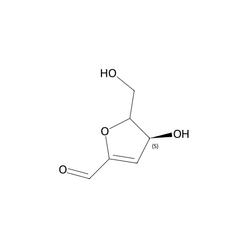 O=CC1=C[C@H](O)C(CO)O1